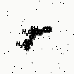 Cc1c(C)n(-c2ccc(-c3ccc4c(c3)C(C)(C)c3ccccc3-4)cc2)c2cc3ccc(-c4ccc5ccccc5c4)cc3cc12